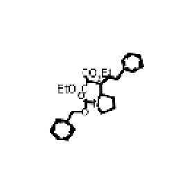 CCOC(=O)C(C(=O)OCC)C(CCc1ccccc1)C1CCCN1C(=O)OCc1ccccc1